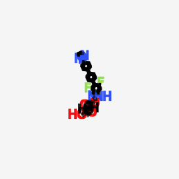 O[C@@H]1CO[C@H]2[C@@H]1OC[C@H]2Oc1nc2c(F)c(-c3ccc(-c4ccc(-n5nccn5)cc4)cc3)c(F)cc2[nH]1